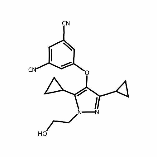 [C-]#[N+]c1cc(C#N)cc(Oc2c(C3CC3)nn(CCO)c2C2CC2)c1